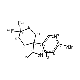 CC(N)C1(c2ccc(Br)nc2)CCC(F)(F)CC1